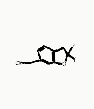 FC1(F)Cc2ccc(CCl)cc2O1